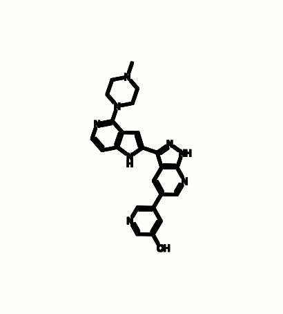 CN1CCN(c2nccc3[nH]c(-c4n[nH]c5ncc(-c6cncc(O)c6)cc45)cc23)CC1